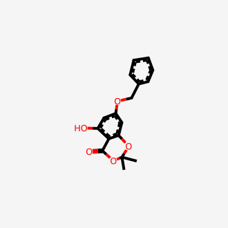 CC1(C)OC(=O)c2c(O)cc(OCc3ccccc3)cc2O1